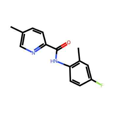 Cc1ccc(C(=O)Nc2ccc(F)cc2C)nc1